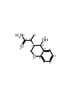 CC(C(N)=O)[C@@H]1COc2ccccc2[C@@H]1O